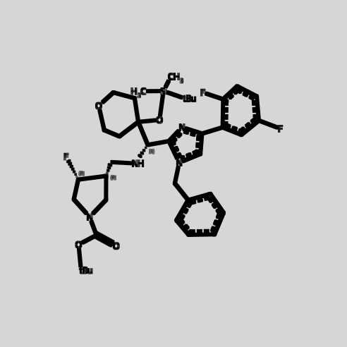 CC(C)(C)OC(=O)N1C[C@@H](CN[C@@H](c2nc(-c3cc(F)ccc3F)cn2Cc2ccccc2)C2(O[Si](C)(C)C(C)(C)C)CCOCC2)[C@@H](F)C1